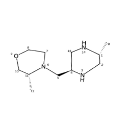 C[C@@H]1CN[C@@H](CN2CCOC[C@H]2C)CN1